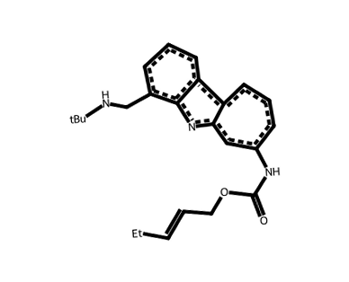 CCC=CCOC(=O)Nc1cccc2c3cccc(CNC(C)(C)C)c3nc-2c1